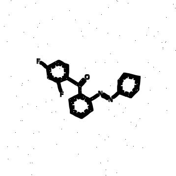 O=C(c1ccc(F)cc1F)c1ccccc1N=Nc1ccccc1